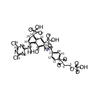 O=S(=O)(O)OCCS(=O)(=O)c1ccc(/N=N/c2c(S(=O)(=O)O)cc3c(S(=O)(=O)O)ccc(Nc4nc(Cl)nc(Cl)n4)c3c2O)cc1